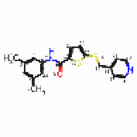 Cc1cc(C)cc(NC(=O)c2ccc(SCc3ccncc3)s2)c1